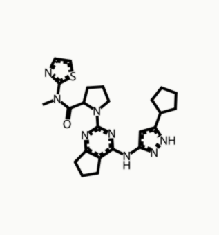 CN(C(=O)C1CCCN1c1nc2c(c(Nc3cc(C4CCCC4)[nH]n3)n1)CCC2)c1nccs1